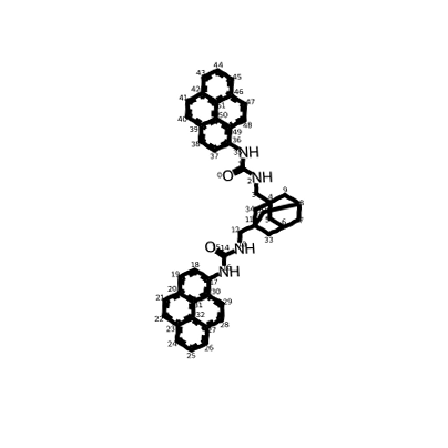 O=C(NCC12CC3CC(C1)CC(CNC(=O)Nc1ccc4ccc5cccc6ccc1c4c56)(C3)C2)Nc1ccc2ccc3cccc4ccc1c2c34